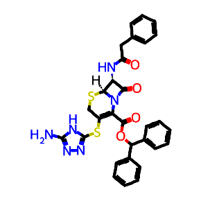 Nc1nnc(SC2=C(C(=O)OC(c3ccccc3)c3ccccc3)N3C(=O)[C@@H](NC(=O)Cc4ccccc4)[C@@H]3SC2)[nH]1